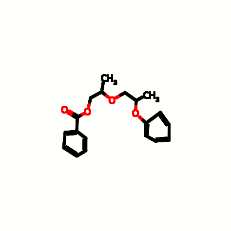 CC(COC(=O)c1ccccc1)OCC(C)Oc1ccccc1